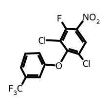 O=[N+]([O-])c1cc(Cl)c(Oc2cccc(C(F)(F)F)c2)c(Cl)c1F